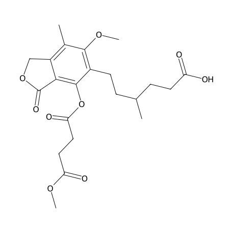 COC(=O)CCC(=O)Oc1c(CCC(C)CCC(=O)O)c(OC)c(C)c2c1C(=O)OC2